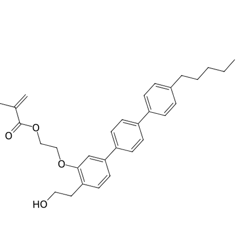 C=C(C)C(=O)OCCOc1cc(-c2ccc(-c3ccc(CCCCC)cc3)cc2)ccc1CCO